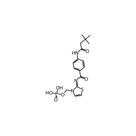 CC(C)(C)CC(=O)Nc1ccc(C(=O)/N=c2\sccn2COP(=O)(O)O)cc1